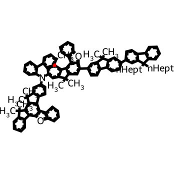 CCCCCCCC1(CCCCCCC)c2ccccc2-c2ccc(-c3ccc4c(c3)C(C)(C)c3cc(-c5cc6c(c7c5oc5ccccc57)-c5ccc(N(c7ccc8c(c7)C(C)(C)c7c9c(c%10oc%11ccccc%11c%10c7-8)-c7ccccc7C9(C)C)c7ccccc7-c7ccc(C)cc7)cc5C6(C)C)ccc3-4)cc21